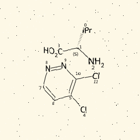 CC(C)[C@H](N)C(=O)O.Clc1ccnnc1Cl